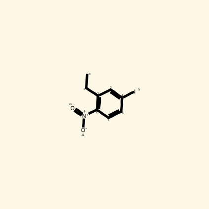 CCc1cc(I)ccc1[N+](=O)[O-]